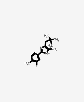 Cc1ccc(-c2nc(CC(C)(C)N)c(C)[nH]2)cc1F